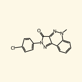 Cn1nc2c(=O)n(-c3ccc(Cl)cc3)nc-2c2ccccc21